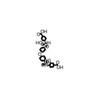 O=C(O)c1ccc(NS(=O)(=O)c2ccc(Oc3ccc(S(=O)(=O)Nc4ccc(C(=O)O)cc4O)cc3)cc2)c(O)c1